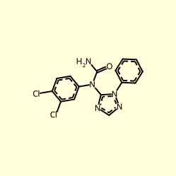 NC(=O)N(c1ccc(Cl)c(Cl)c1)c1ncnn1-c1ccccc1